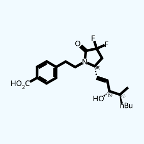 CCCC[C@H](C)[C@H](O)C=C[C@H]1CC(F)(F)C(=O)N1CCc1ccc(C(=O)O)cc1